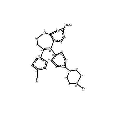 COc1ccc2c(c1)OCCC(c1ccc(F)cc1)=C2c1ccc(N2CCN(C(C)C)CC2)cc1